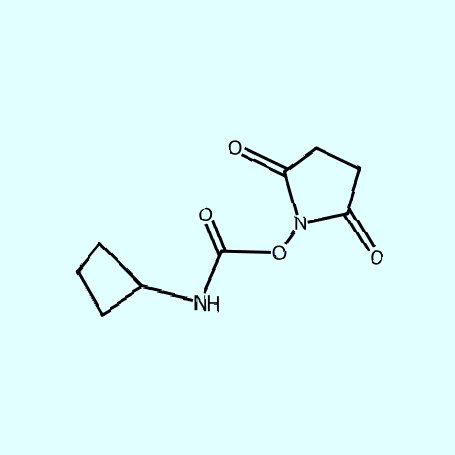 O=C(NC1CCC1)ON1C(=O)CCC1=O